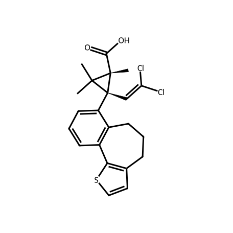 CC1(C)[C@](C)(C(=O)O)[C@]1(C=C(Cl)Cl)c1cccc2c1CCCc1ccsc1-2